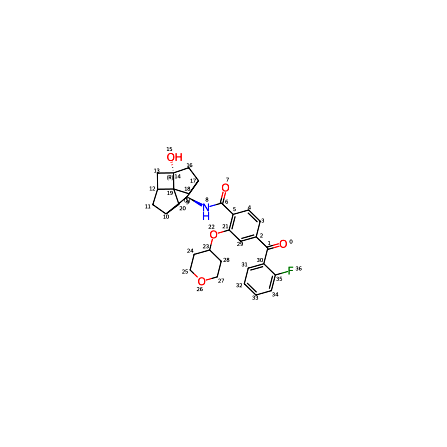 O=C(c1ccc(C(=O)N[C@H]2C3CC4C[C@@]5(O)CC2CC45C3)c(OC2CCOCC2)c1)c1ccccc1F